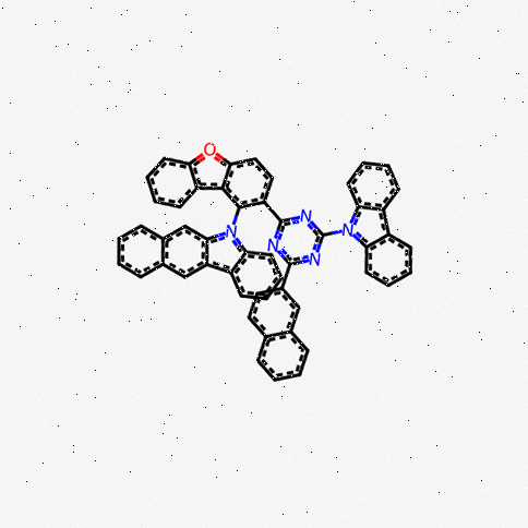 c1ccc2cc(-c3nc(-c4ccc5oc6ccccc6c5c4-n4c5ccccc5c5cc6ccccc6cc54)nc(-n4c5ccccc5c5ccccc54)n3)ccc2c1